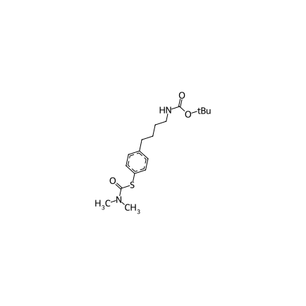 CN(C)C(=O)Sc1ccc(CCCCNC(=O)OC(C)(C)C)cc1